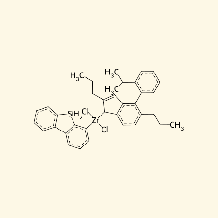 CCCC1=Cc2c(ccc(CCC)c2-c2ccccc2C(C)C)[CH]1[Zr]([Cl])([Cl])[c]1cccc2c1[SiH2]c1ccccc1-2